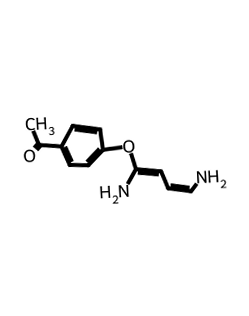 CC(=O)c1ccc(O/C(N)=C/C=C\N)cc1